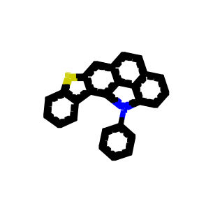 c1ccc(-n2c3cccc4ccc5cc6sc7ccccc7c6c2c5c43)cc1